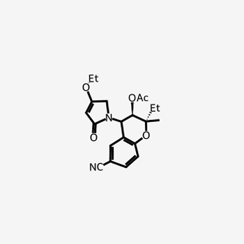 CCOC1=CC(=O)N(C2c3cc(C#N)ccc3O[C@@](C)(CC)[C@@H]2OC(C)=O)C1